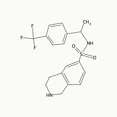 CC(NS(=O)(=O)c1ccc2c(c1)CCNC2)c1ccc(C(F)(F)F)cc1